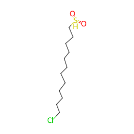 O=[SH](=O)CCCCCCCCCCCCCl